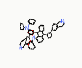 c1ccc(N(c2ccccc2)c2ccc(N(c3ccccc3)c3cccc4c(-c5cccc(-c6ccc7cnccc7c6)c5)c5ccccc5c(-c5cccc(-c6ccc7cnccc7c6)c5)c34)cc2)cc1